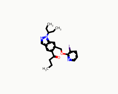 CCCC(=O)c1cc2cnn(C(CC)CC)c2cc1COc1ncccc1I